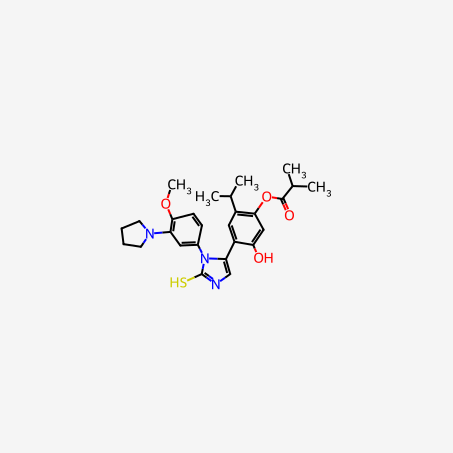 COc1ccc(-n2c(-c3cc(C(C)C)c(OC(=O)C(C)C)cc3O)cnc2S)cc1N1CCCC1